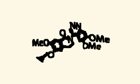 COc1cc2nncc(N3CCc4cc(OCC5CC5)c(OC)cc4C3=O)c2cc1OC